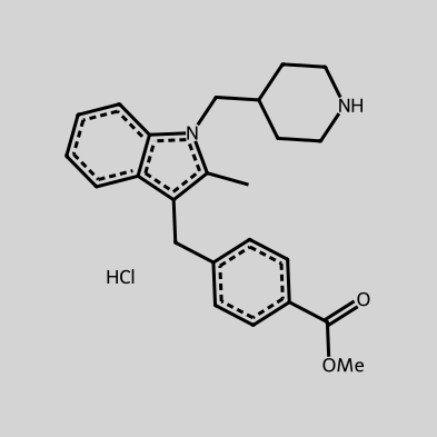 COC(=O)c1ccc(Cc2c(C)n(CC3CCNCC3)c3ccccc23)cc1.Cl